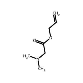 C=CCOC(=O)CN(C)C